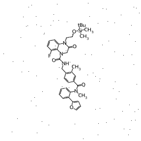 Cc1cc(C(=O)N(C)c2ccccc2-c2ccco2)ccc1CNC(=O)N1CC(=O)N(CCO[Si](C)(C)C(C)(C)C)c2cccc(F)c21